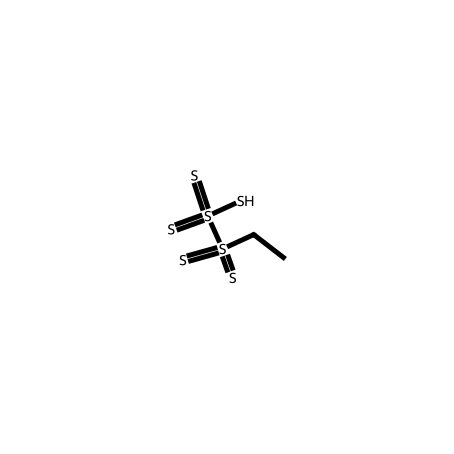 CCS(=S)(=S)S(=S)(=S)S